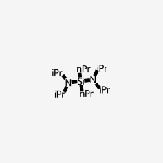 CCC[Si](CCC)(N(C(C)C)C(C)C)N(C(C)C)C(C)C